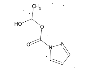 C[C](O)OC(=O)n1cccn1